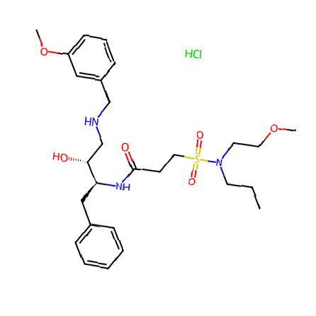 CCCN(CCOC)S(=O)(=O)CCC(=O)N[C@@H](Cc1ccccc1)[C@H](O)CNCc1cccc(OC)c1.Cl